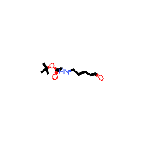 CC(C)(C)OC(=O)CNCCCCC=O